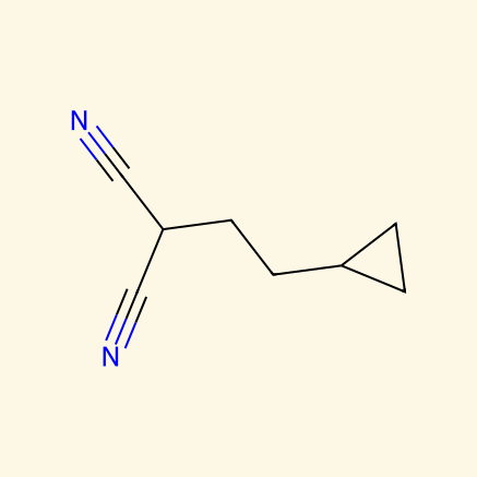 N#CC(C#N)CCC1CC1